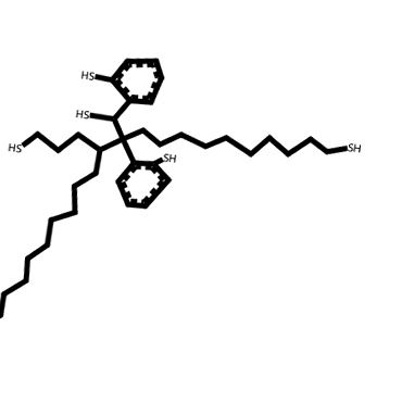 S[CH]CCC(CCCCCCCCCCS)C(CCCCCCCCCCS)([C](S)c1ccccc1S)c1ccccc1S